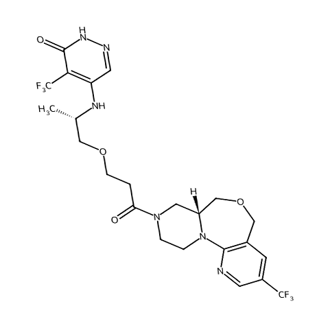 C[C@@H](COCCC(=O)N1CCN2c3ncc(C(F)(F)F)cc3COC[C@H]2C1)Nc1cn[nH]c(=O)c1C(F)(F)F